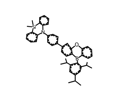 CC(C)c1cc(C(C)C)c(B2c3ccccc3Oc3cc(-c4ccc(N5c6ccccc6[Si](C)(C)c6ccccc65)cc4)ccc32)c(C(C)C)c1